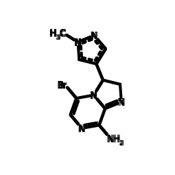 Cn1cc(C2CN=C3C(N)=NC=C(Br)N32)cn1